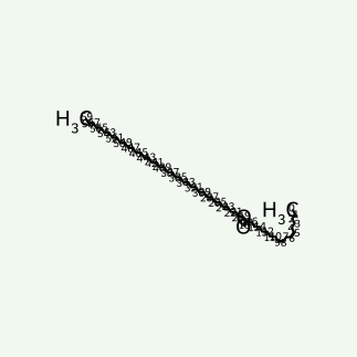 CCCCC/C=C\C/C=C\CCCCCCCC(=O)OCCCCCCCCCCCCCCCCCCCCCCCCCCCCCCCCCCCCCCCC